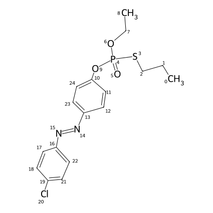 CCCSP(=O)(OCC)Oc1ccc(N=Nc2ccc(Cl)cc2)cc1